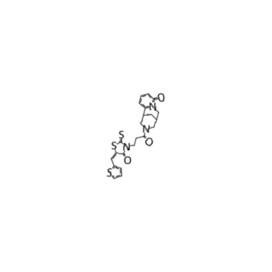 O=C(CCN1C(=O)/C(=C\c2cccs2)SC1=S)N1CC2CC(C1)c1cccc(=O)n1C2